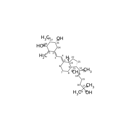 C=C1/C(=C/C=C2\CCC[C@]3(C)[C@@H]([C@@H](C)CCCC(C)(C)O)CC[C@@H]23)C[C@@H](O)[C@@H](C)[C@@H]1O